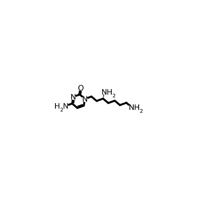 NCCCC[C@@H](N)CCn1ccc(N)nc1=O